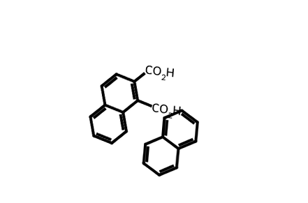 O=C(O)c1ccc2ccccc2c1C(=O)O.c1ccc2ccccc2c1